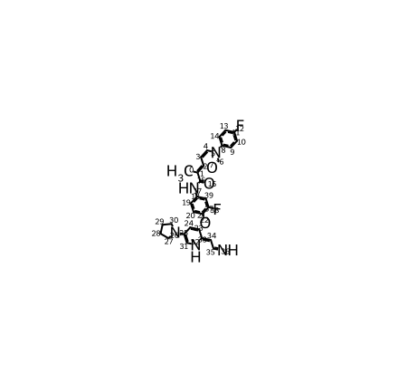 C/C(=C\C=C/N(C=O)c1ccc(F)cc1)C(=O)Nc1ccc(OC2=CC(N3CCCC3)=CN/C2=C\C=N)c(F)c1